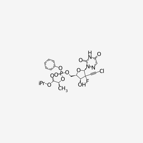 CC(C)OC(=O)[C@H](C)OP(=O)(OC[C@H]1O[C@@H](n2ncc(=O)[nH]c2=O)C(F)(C#CCl)[C@H]1O)Oc1ccccc1